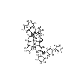 c1ccc(-c2ccc(N(c3ccccc3)c3ccc4c(c3)-c3oc5ccccc5c3C43c4ccccc4-c4ccc(N(c5ccccc5)c5cccc6ccccc56)cc43)cc2)cc1